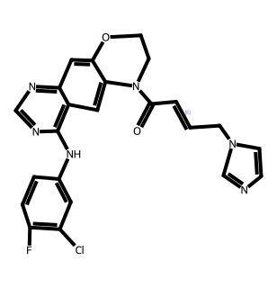 O=C(/C=C/Cn1ccnc1)N1CCOc2cc3ncnc(Nc4ccc(F)c(Cl)c4)c3cc21